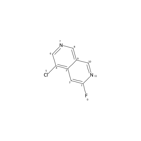 Fc1cc2c(Cl)cncc2cn1